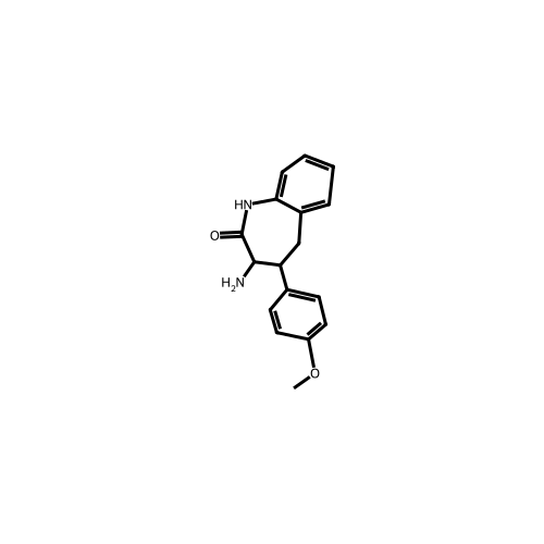 COc1ccc(C2Cc3ccccc3NC(=O)C2N)cc1